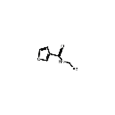 CC(=O)CNC(=O)c1ccoc1